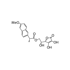 COc1ccc2cc([C@H](C)C(=O)OC[C@H](O)[C@H]3OC(=O)C(O)=C3O)ccc2c1